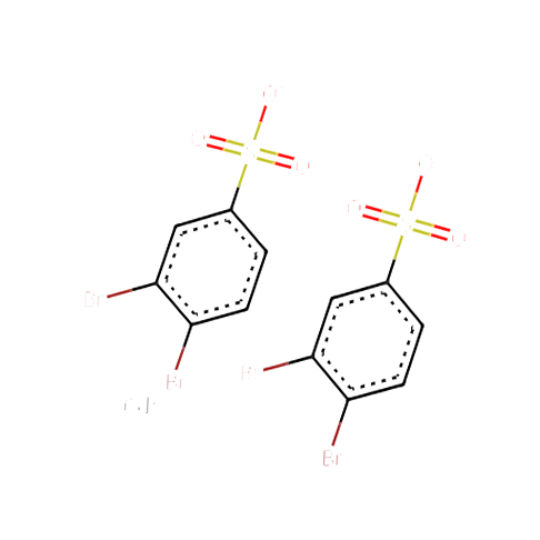 O=S(=O)([O-])c1ccc(Br)c(Br)c1.O=S(=O)([O-])c1ccc(Br)c(Br)c1.[Cd+2]